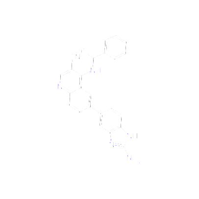 CC(Nc1c(C#N)cnc2ccc(-c3ccc4[nH]c(N)nc4c3)cc12)c1ccccc1